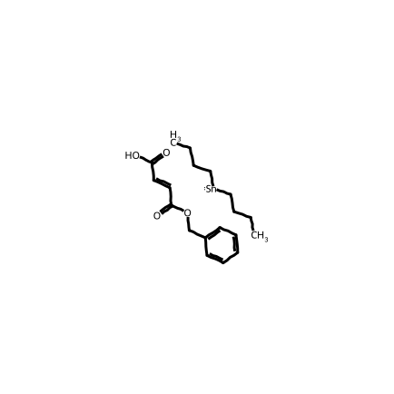 CCC[CH2][Sn][CH2]CCC.O=C(O)C=CC(=O)OCc1ccccc1